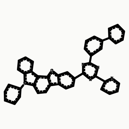 c1ccc(-c2cccc(-c3nc(-c4ccc5c(c4)oc4c5ccc5c4c4ccccc4n5-c4ccccc4)nc(-c4ccccn4)n3)c2)cc1